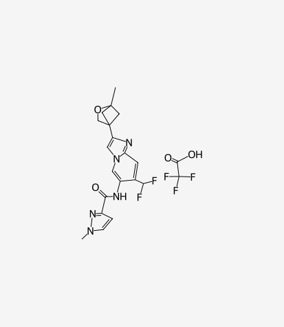 Cn1ccc(C(=O)Nc2cn3cc(C45COC(C)(C4)C5)nc3cc2C(F)F)n1.O=C(O)C(F)(F)F